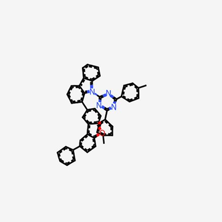 Cc1ccc(-c2nc(-c3ccc(C)cc3)nc(-n3c4ccccc4c4cccc(-c5ccc6oc7ccc(-c8ccccc8)cc7c6c5)c43)n2)cc1